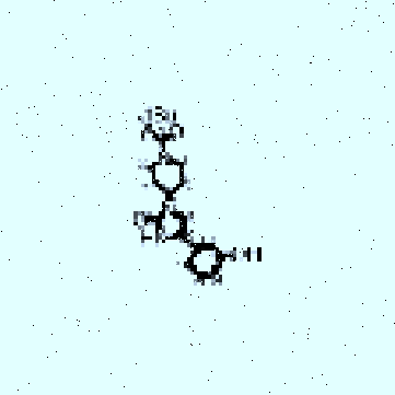 CC(C)(C)OC(=O)N1CCC(n2cc(-c3cccc(O)c3)[nH]c2=O)CC1